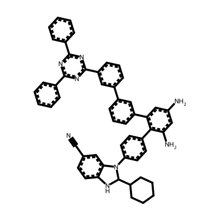 N#Cc1ccc2c(c1)N(c1ccc(-c3c(N)cc(N)cc3-c3cccc(-c4cccc(-c5nc(-c6ccccc6)nc(-c6ccccc6)n5)c4)c3)cc1)C(C1CCCCC1)N2